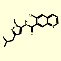 CC(C)Cc1cc(NC(=O)c2cc3ncccc3cc2Cl)n(C)n1